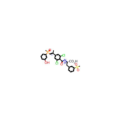 C/C(=C\P(C)(=O)c1cccc(O)c1)c1cc(Cl)c(C(=O)N[C@@H](Cc2cccc(S(C)(=O)=O)c2)C(=O)O)c(Cl)c1